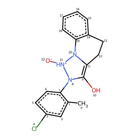 Cc1cc(Cl)ccc1N1C(O)=C2CCc3ccccc3N2[NH+]1[O-]